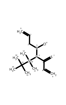 C=CCB(Cl)N(C(=S)C=C)[Si](C)(C)C(C)(C)C